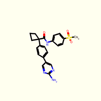 CS(=O)(=O)c1ccc(NC(=O)C2(c3ccc(-c4cnc(N)nc4)cc3)CCC2)cc1